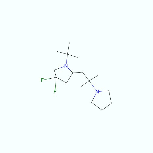 CC(C)(C)N1CC(F)(F)CC1CC(C)(C)N1CCCC1